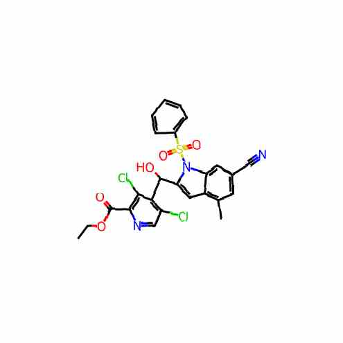 CCOC(=O)c1ncc(Cl)c(C(O)c2cc3c(C)cc(C#N)cc3n2S(=O)(=O)c2ccccc2)c1Cl